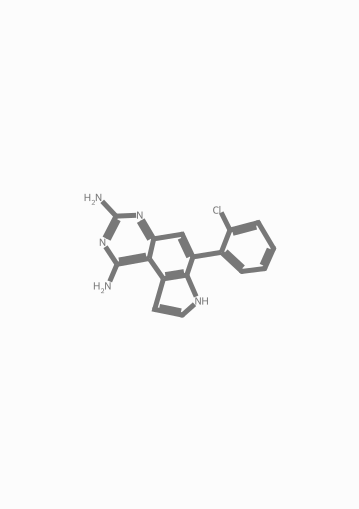 Nc1nc(N)c2c(cc(-c3ccccc3Cl)c3[nH]ccc32)n1